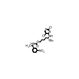 CC(NC(=O)OCCCC[C@H](Nc1nc(Cl)ncc1Cl)C(C)(C)C)c1cccc([N+](=O)[O-])c1